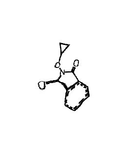 O=C1c2ccccc2C(=O)N1OC1CC1